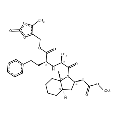 CCCCCCCCOC(=O)O[C@H]1C[C@H]2CCCC[C@@H]2N1C(=O)[C@H](C)N[C@@H](CCc1ccccc1)C(=O)OCc1oc(=O)oc1C